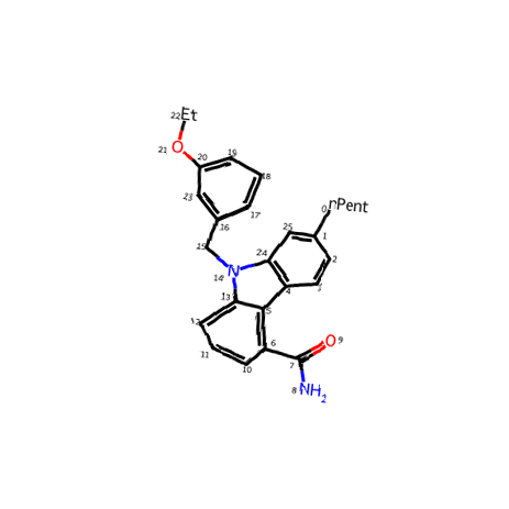 CCCCCc1c[c]c2c3c(C(N)=O)cccc3n(Cc3cccc(OCC)c3)c2c1